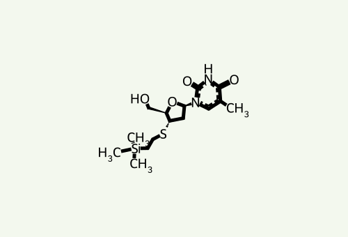 Cc1cn([C@H]2C[C@H](SCC[Si](C)(C)C)[C@@H](CO)O2)c(=O)[nH]c1=O